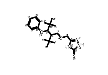 CC(C)(C)C(CSCc1n[nH]c(=S)[nH]1)C(Oc1ccccc1)C(C)(C)C